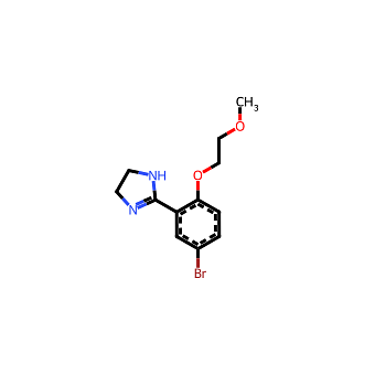 COCCOc1ccc(Br)cc1C1=NCCN1